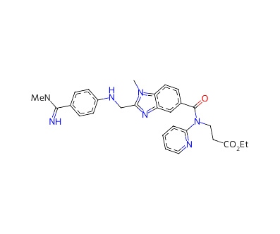 CCOC(=O)CCN(C(=O)c1ccc2c(c1)nc(CNc1ccc(C(=N)NC)cc1)n2C)c1ccccn1